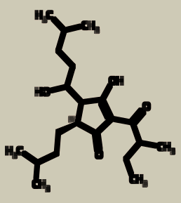 CCC(C)C(=O)C1=C(O)C(C(O)CCC(C)C)[C@H](CCC(C)C)C1=O